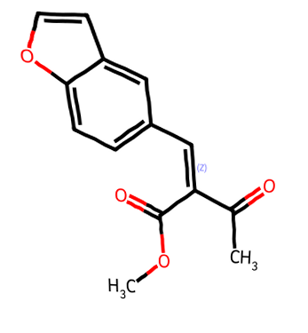 COC(=O)/C(=C\c1ccc2occc2c1)C(C)=O